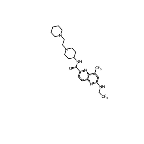 O=C(NC1CCN(CCN2CCCCC2)CC1)c1ccc2nc(NCC(F)(F)F)cc(C(F)(F)F)c2n1